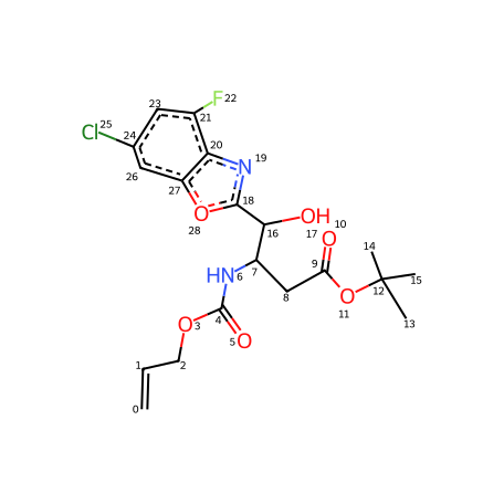 C=CCOC(=O)NC(CC(=O)OC(C)(C)C)C(O)c1nc2c(F)cc(Cl)cc2o1